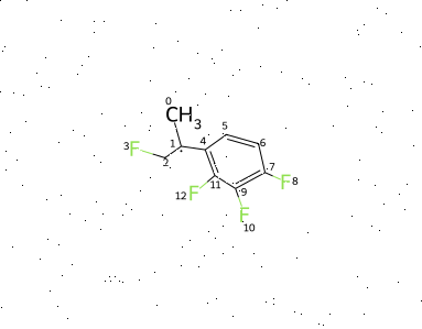 C[C](CF)c1ccc(F)c(F)c1F